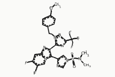 COc1ccc(Cn2nc(C(F)(F)F)nc2-c2nc3cc(F)c(F)cn3c2-c2cn(S(=O)(=O)N(C)C)cn2)cc1